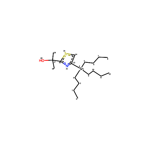 CCC[CH2][Sn]([CH2]CCC)([CH2]CCC)[c]1csc(C(C)(C)O)n1